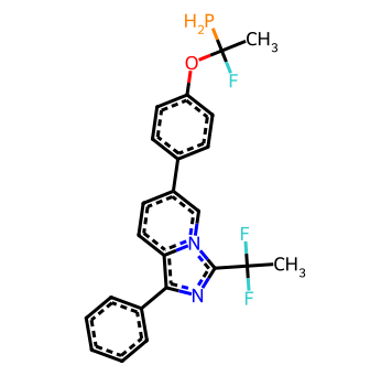 CC(F)(P)Oc1ccc(-c2ccc3c(-c4ccccc4)nc(C(C)(F)F)n3c2)cc1